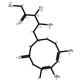 CCC/C1=C/C(C(C)(C)C)=C(/C)CC(=O)CC(CC(CCC)C(CC)C(=O)CC(C)=O)CC1